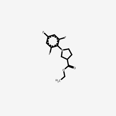 CCOC(=O)C1CCN(c2c(F)cc(F)cc2F)C1